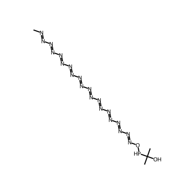 CN=NN=NN=NN=NN=NN=NN=NN=NN=NN=NOPC(C)(C)O